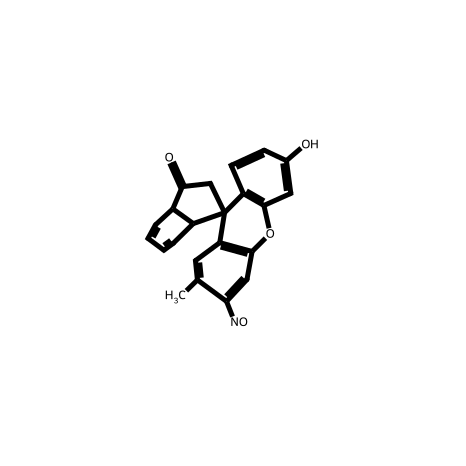 Cc1cc2c(cc1N=O)Oc1cc(O)ccc1C21CC(=O)C2C=CC=CC21